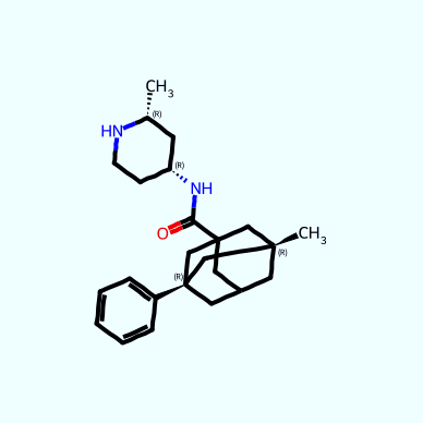 C[C@@H]1C[C@H](NC(=O)C23CC4C[C@@](C)(C2)C[C@](c2ccccc2)(C4)C3)CCN1